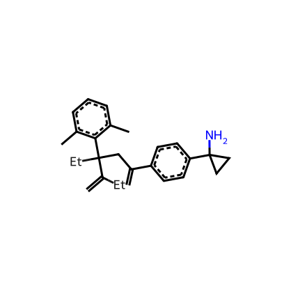 C=C(CC(CC)(C(=C)CC)c1c(C)cccc1C)c1ccc(C2(N)CC2)cc1